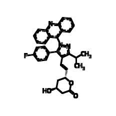 CC(C)c1nn(-c2c3ccccc3nc3ccccc23)c(-c2ccc(F)cc2)c1/C=C/[C@H]1C[C@H](O)CC(=O)O1